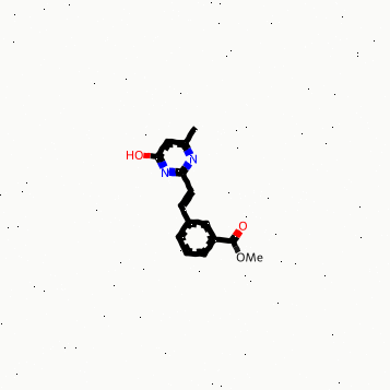 COC(=O)c1cccc(/C=C/c2nc(C)cc(O)n2)c1